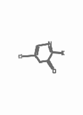 O=C1CC(Cl)=CN=[C]1[K]